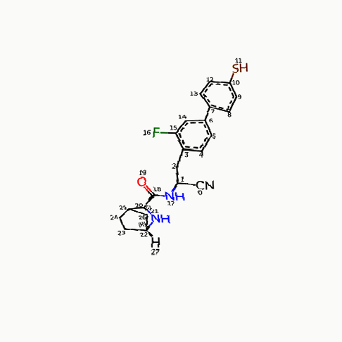 N#CC(Cc1ccc(-c2ccc(S)cc2)cc1F)NC(=O)[C@H]1N[C@@H]2CCC1C2